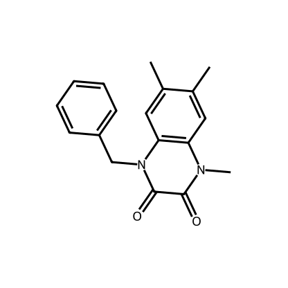 Cc1cc2c(cc1C)n(Cc1ccccc1)c(=O)c(=O)n2C